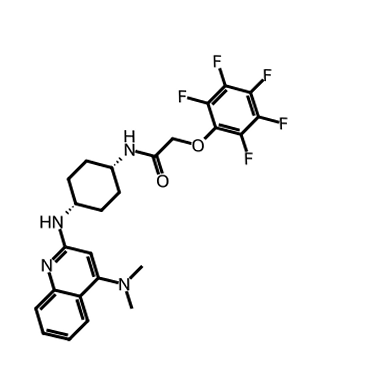 CN(C)c1cc(N[C@H]2CC[C@@H](NC(=O)COc3c(F)c(F)c(F)c(F)c3F)CC2)nc2ccccc12